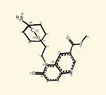 COC(=O)c1cnc2ccc(=O)n(CCC34CCC(N)(CC3)CO4)c2c1